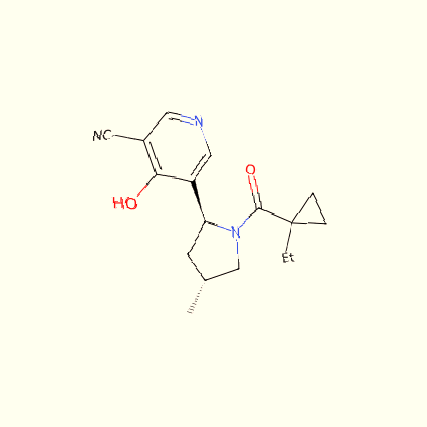 CCC1(C(=O)N2C[C@H](C)C[C@H]2c2cncc(C#N)c2O)CC1